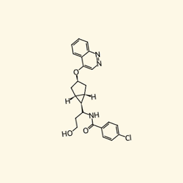 O=C(NC(CCO)[C@H]1[C@@H]2C[C@@H](Oc3cnnc4ccccc34)C[C@@H]21)c1ccc(Cl)cc1